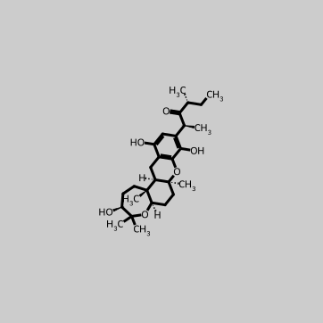 CC[C@@H](C)C(=O)[C@@H](C)c1cc(O)c2c(c1O)O[C@@]1(C)CC[C@H]3OC(C)(C)[C@@H](O)CC[C@]3(C)[C@H]1C2